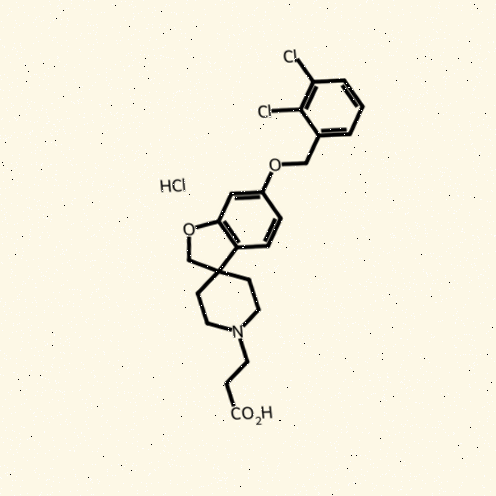 Cl.O=C(O)CCN1CCC2(CC1)COc1cc(OCc3cccc(Cl)c3Cl)ccc12